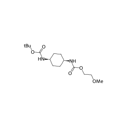 COCCOC(=O)N[C@H]1CC[C@@H](NC(=O)OC(C)(C)C)CC1